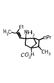 CCCC1C2CC(C(=O)O)(CC2(N)/C=C(/C)CC)C1C